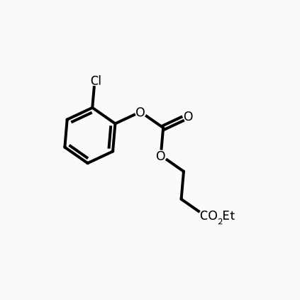 CCOC(=O)CCOC(=O)Oc1ccccc1Cl